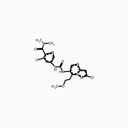 COCCc1c(NC(=O)Nc2cnc(C(=O)N(C)C)c(Cl)c2)cnc2cc(Cl)nn12